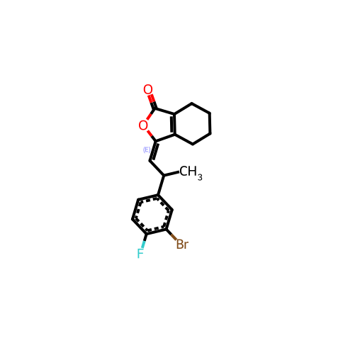 CC(/C=C1/OC(=O)C2=C1CCCC2)c1ccc(F)c(Br)c1